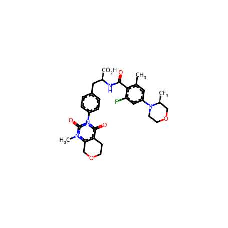 Cc1cc(N2CCOC[C@@H]2C(F)(F)F)cc(F)c1C(=O)N[C@@H](Cc1ccc(-n2c(=O)c3c(n(C)c2=O)COCC3)cc1)C(=O)O